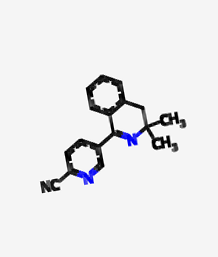 CC1(C)Cc2ccccc2C(c2ccc(C#N)nc2)=N1